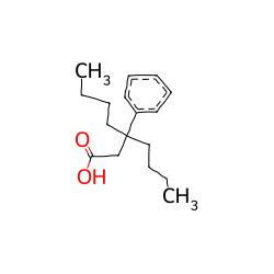 CCCCC(CCCC)(CC(=O)O)c1ccccc1